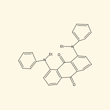 CCN(c1ccccc1)c1cccc2c1C(=O)c1c(cccc1N(CC)c1ccccc1)C2=O